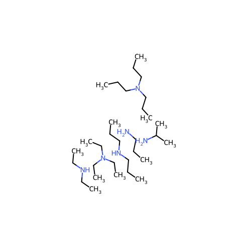 CC(C)N.CCCN.CCCN(CCC)CCC.CCCNCCC.CCN(CC)CC.CCNCC